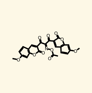 COc1ccc2cc(C(=O)C(=NOC(C)=O)C(=O)c3cc4ccc(OC)cc4oc3=O)c(=O)oc2c1